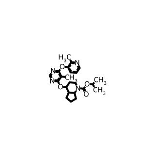 Cc1ncccc1Oc1ncnc(OC2CCN(C(=O)OC(C)C)C3CCCC23)c1C